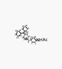 CC(=O)Nc1ccc(CN2CCC(C(c3ccccc3)c3ccccc3)CC2)cc1